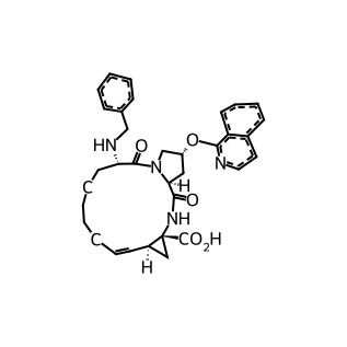 O=C1N[C@]2(C(=O)O)C[C@H]2/C=C\CCCCC[C@H](NCc2ccccc2)C(=O)N2C[C@H](Oc3nccc4ccccc34)C[C@@H]12